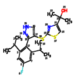 CC(C)c1cc(F)cc(C(C)C)c1-c1n[nH]cc1Sc1nc(C(C)(C)O)cs1